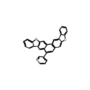 c1cncc(-c2cc3cc4oc5ccccc5c4cc3c3cc4sc5ccccc5c4cc23)c1